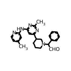 Cc1ccnc(Nc2cc(C3CCCN(C(C=O)c4ccccc4)C3)nc(C)n2)c1